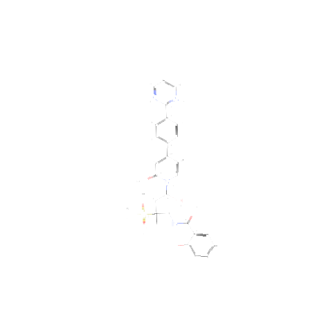 CC(CNC(=O)c1ccccc1O)(CC(O)n1ccc(-c2ccc(-c3ncccn3)cc2)cc1=O)S(C)(=O)=O